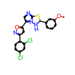 COc1cccc(C2Nn3c(-c4cc(-c5ccc(Cl)cc5Cl)no4)cnc3S2)c1